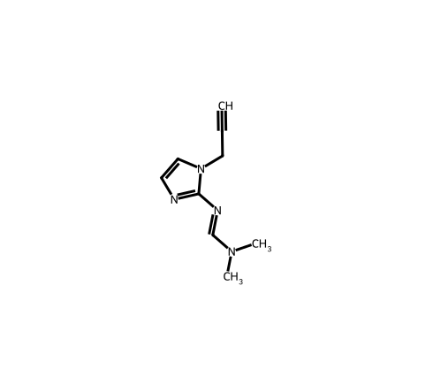 C#CCn1ccnc1/N=C/N(C)C